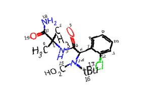 CC(C)(NC(=O)C(c1ccccc1Cl)N(C(=O)O)C(C)(C)C)C(N)=O